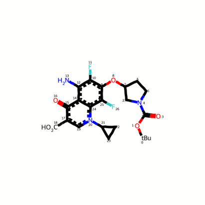 CC(C)(C)OC(=O)N1CCC(Oc2c(F)c(N)c3c(=O)c(C(=O)O)cn(C4CC4)c3c2F)C1